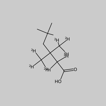 [2H]C([2H])([2H])C(CC(C)(C)C)(C([2H])([2H])[2H])C([2H])([2H])C(=O)O